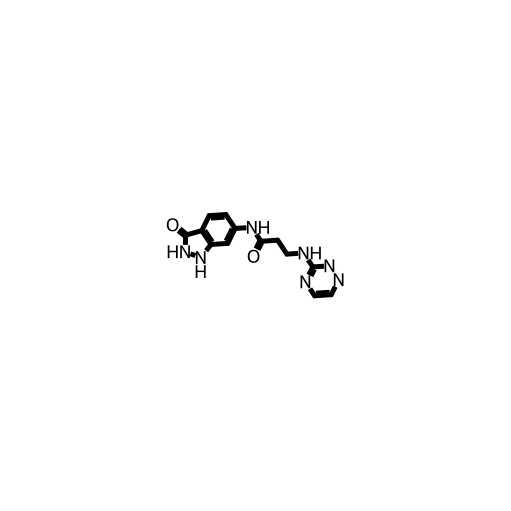 O=C(CCNc1nccnn1)Nc1ccc2c(=O)[nH][nH]c2c1